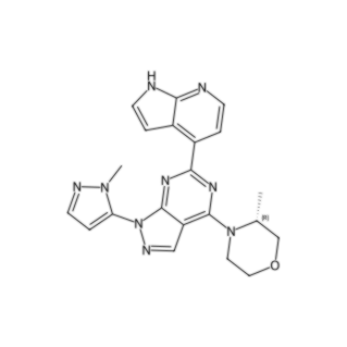 C[C@@H]1COCCN1c1nc(-c2ccnc3[nH]ccc23)nc2c1cnn2-c1ccnn1C